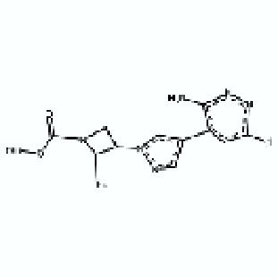 CC(C)(C)OC(=O)N1CC(n2cc(-c3cc(Cl)nnc3N)cn2)C1C(C)(C)C